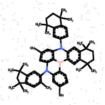 Cc1cc2c(cc1N1c3cc(C(C)(C)C)ccc3B3c4cc5c(cc4N(c4ccc6c(c4)C(C)(C)CCC6(C)C)c4cc(C(C)(C)C)cc1c43)C(C)(C)CCC5(C)C)C(C)(C)CC2(C)C